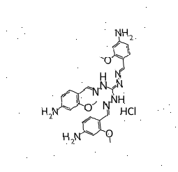 COc1cc(N)ccc1C=NN=C(NN=Cc1ccc(N)cc1OC)NN=Cc1ccc(N)cc1OC.Cl